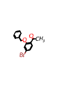 CC(=O)c1ccc(Br)cc1OCc1ccccc1